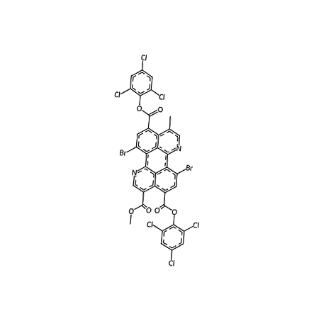 COC(=O)c1cnc2c3c(Br)cc(C(=O)Oc4c(Cl)cc(Cl)cc4Cl)c4c(C)cnc(c5c(Br)cc(C(=O)Oc6c(Cl)cc(Cl)cc6Cl)c1c25)c43